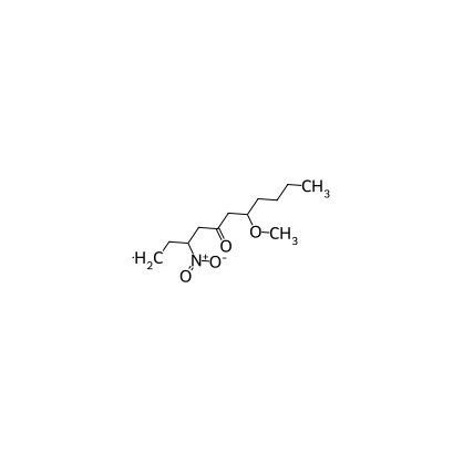 [CH2]CC(CC(=O)CC(CCCC)OC)[N+](=O)[O-]